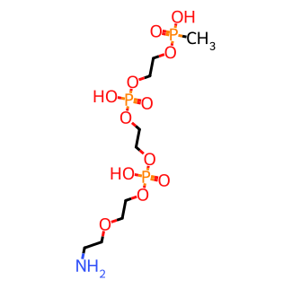 CP(=O)(O)OCCOP(=O)(O)OCCOP(=O)(O)OCCOCCN